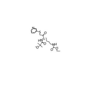 CCOC(=O)NCCCC[C@H](NC(=O)C(C)(C)OC)C(=O)CSc1cccnc1